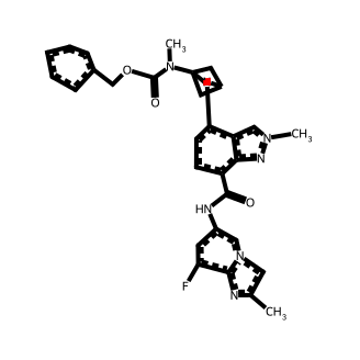 Cc1cn2cc(NC(=O)c3ccc(N4CC5(N(C)C(=O)OCc6ccccc6)CC4C5)c4cn(C)nc34)cc(F)c2n1